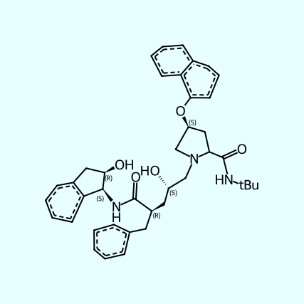 CC(C)(C)NC(=O)C1C[C@H](Oc2cccc3ccccc23)CN1C[C@@H](O)C[C@@H](Cc1ccccc1)C(=O)N[C@H]1c2ccccc2C[C@H]1O